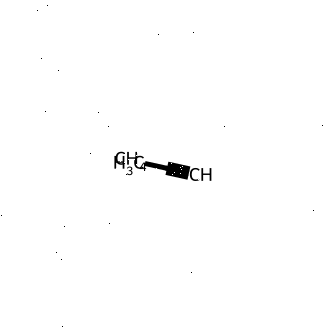 C.C#CC